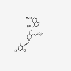 COc1ccc2nccc([C@@H](O)CCC3CCN(CC#Cc4c(C)cc(Cl)cc4Cl)CC3CCC(=O)O)c2c1